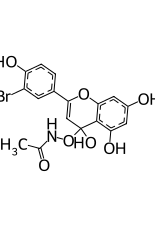 CC(=O)NOC1(O)C=C(c2ccc(O)c(Br)c2)Oc2cc(O)cc(O)c21